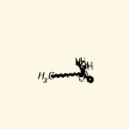 CCCCCCCCCCCCCC(=O)N(OCc1ccccc1)[C@@H](CO)CCCN